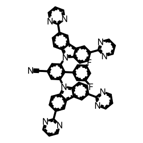 N#Cc1cc(-n2c3ccc(-c4ncccn4)cc3c3cc(-c4ncccn4)ccc32)c(-c2cc(F)cc(F)c2)c(-n2c3ccc(-c4ncccn4)cc3c3cc(-c4ncccn4)ccc32)c1